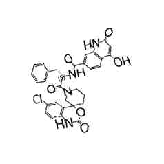 O=C1Nc2ccc(Cl)cc2C2(CCCN(C(=O)[C@H](Cc3ccccc3)NC(=O)c3ccc4c(O)cc(=O)[nH]c4c3)C2)O1